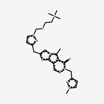 Cc1c2c(=O)n(Cc3ccn(C)n3)ncc2c2sc(Cc3ccn(COCC[Si](C)(C)C)n3)cn12